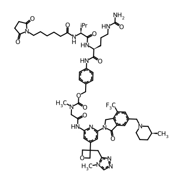 CC(C)[C@H](NC(=O)CCCCCN1C(=O)CCC1=O)C(=O)N[C@@H](CCCNC(N)=O)C(=O)Nc1ccc(COC(=O)N(C)CC(=O)Nc2cc(C3(Cc4nncn4C)COC3)cc(N3Cc4c(cc(CN5CCC[C@H](C)C5)cc4C(F)(F)F)C3=O)n2)cc1